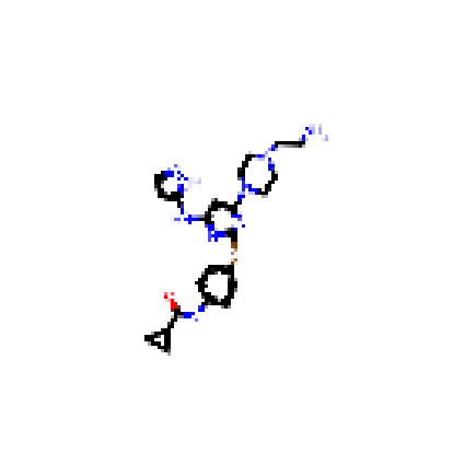 NCCN1CCN(c2cc(Nc3ccn[nH]3)nc(Sc3ccc(NC(=O)C4CC4)cc3)n2)CC1